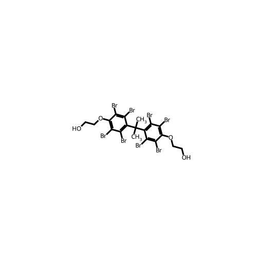 CC(C)(c1c(Br)c(Br)c(OCCO)c(Br)c1Br)c1c(Br)c(Br)c(OCCO)c(Br)c1Br